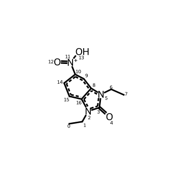 CCn1c(=O)n(CC)c2cc([N+](=O)O)ccc21